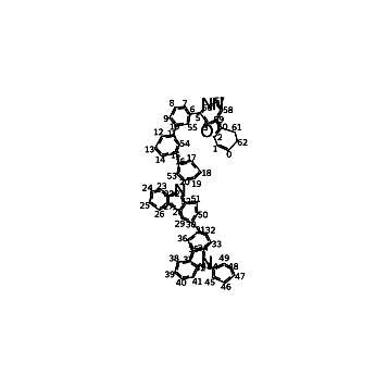 C1=Cc2oc3c(-c4cccc(-c5cccc(-c6cccc(-n7c8ccccc8c8cc(-c9ccc%10c(c9)c9ccccc9n%10-c9ccccc9)ccc87)c6)c5)c4)nncc3c2CC1